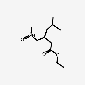 CCOC(=O)CC(CC(C)C)C[PH](C)=O